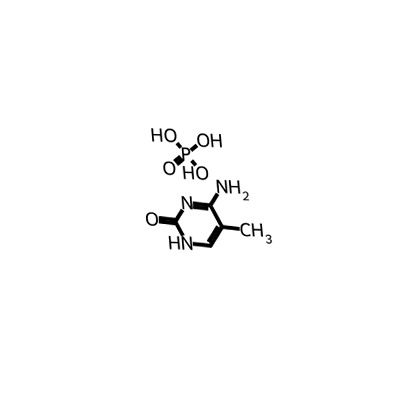 Cc1c[nH]c(=O)nc1N.O=P(O)(O)O